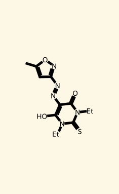 CCn1c(O)c(N=Nc2cc(C)on2)c(=O)n(CC)c1=S